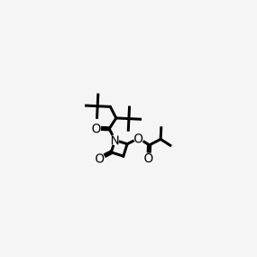 CC(C)C(=O)OC1CC(=O)N1C(=O)C(CC(C)(C)C)C(C)(C)C